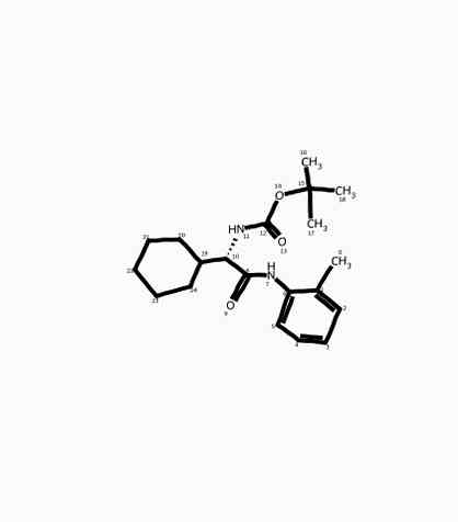 Cc1ccccc1NC(=O)[C@@H](NC(=O)OC(C)(C)C)C1CCCCC1